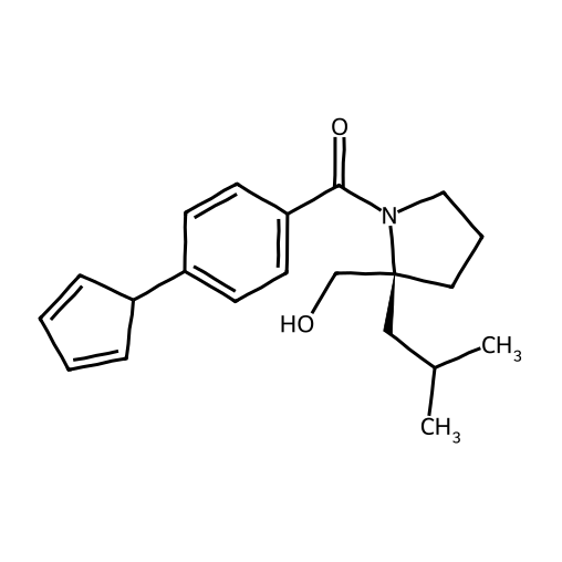 CC(C)C[C@]1(CO)CCCN1C(=O)c1ccc(C2C=CC=C2)cc1